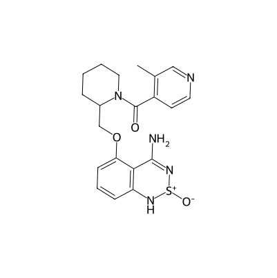 Cc1cnccc1C(=O)N1CCCCC1COc1cccc2c1C(N)=N[S+]([O-])N2